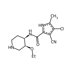 CCO[C@H]1CNCC[C@H]1NC(=O)c1[nH]c(C)c(Cl)c1C#N